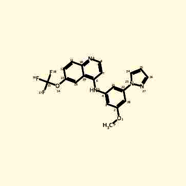 COc1cc(Nc2ccnc3ccc(OC(F)(F)F)cc23)cc(-n2cccn2)c1